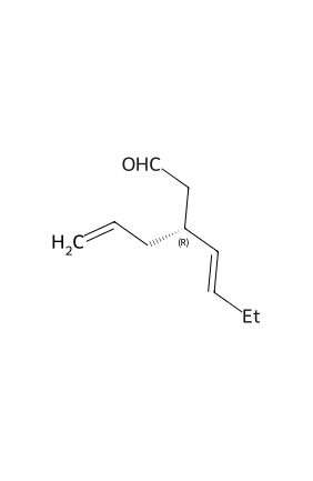 C=CC[C@@H](C=CCC)CC=O